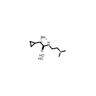 CN(C)CCNC(=O)[C@@H](N)C1CC1.Cl.Cl